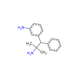 [CH2]C(C)(N)C(c1ccccc1)c1cccc(N)c1